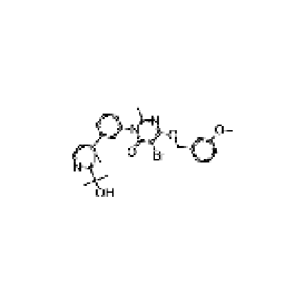 COc1cccc(COc2nc(C)n(-c3cccc(-c4ccnc(C(C)(C)O)n4)c3)c(=O)c2Br)c1